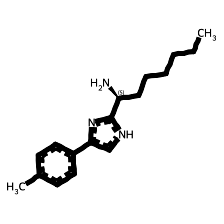 CCCCCC[C@H](N)c1nc(-c2ccc(C)cc2)c[nH]1